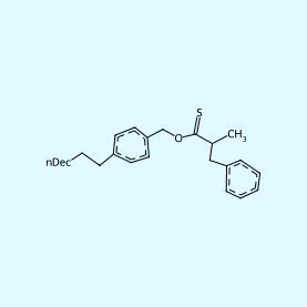 CCCCCCCCCCCCc1ccc(COC(=S)C(C)Cc2ccccc2)cc1